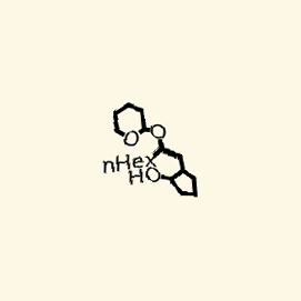 CCCCCC/C(=C\C1CCC[C]1O)OC1CCCCO1